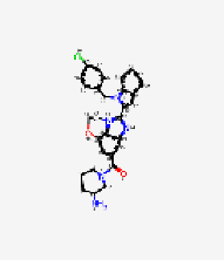 NC1CCCN(C(=O)c2cc3c4c(c2)nc(-c2cc5ccccc5n2Cc2ccc(Cl)cc2)n4CCO3)C1